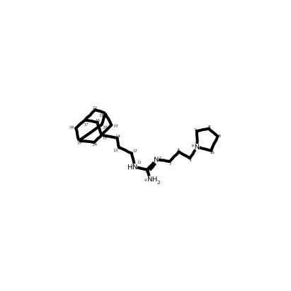 NC(=NCCCN1CCCC1)NCCCC12CC3CC(CC(C3)C1)C2